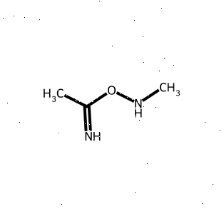 CNOC(C)=N